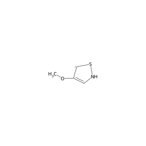 COC1=CNS[C]1